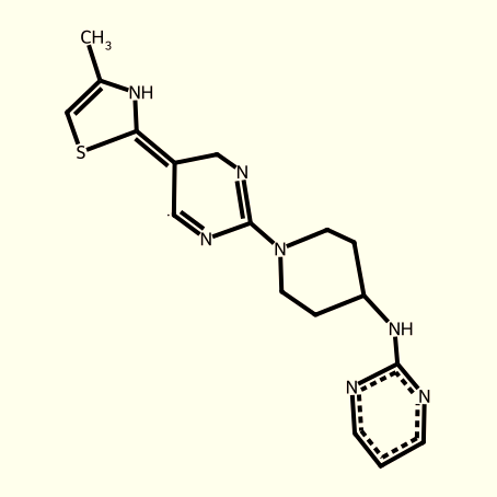 CC1=CSC(=C2[C]=NC(N3CCC(Nc4ncccn4)CC3)=NC2)N1